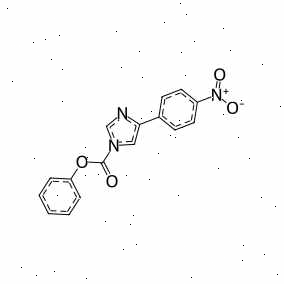 O=C(Oc1ccccc1)n1cnc(-c2ccc([N+](=O)[O-])cc2)c1